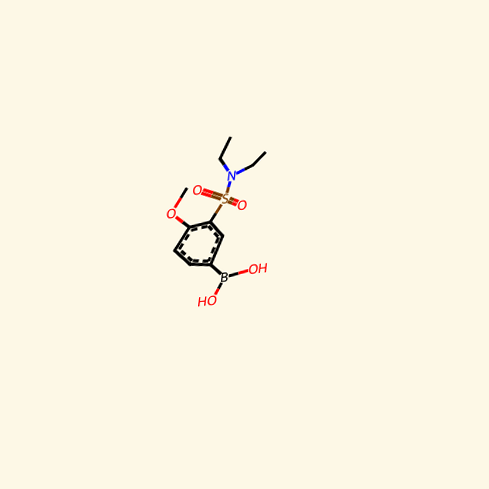 CCN(CC)S(=O)(=O)c1cc(B(O)O)ccc1OC